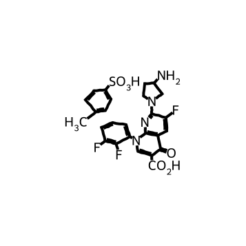 Cc1ccc(S(=O)(=O)O)cc1.NC1CCN(c2nc3c(cc2F)c(=O)c(C(=O)O)cn3-c2cccc(F)c2F)C1